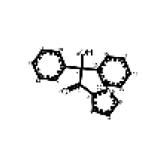 O=C(c1ccc[nH]1)C(O)(c1ccccc1)c1ccccc1